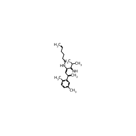 C=CCCCCN/C(=C/C(=C)c1cc(C)ccc1C)C(=N)C(C)C